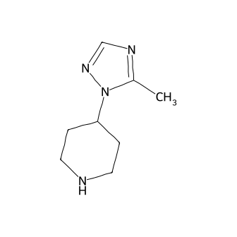 Cc1ncnn1C1CCNCC1